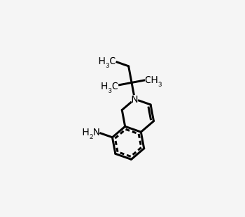 CCC(C)(C)N1C=Cc2cccc(N)c2C1